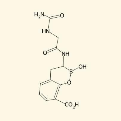 NC(=O)NCC(=O)NC1Cc2cccc(C(=O)O)c2OB1O